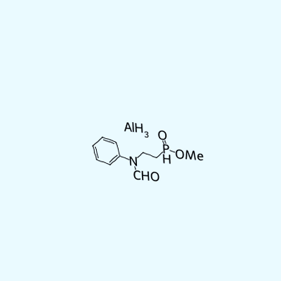 CO[PH](=O)CCN(C=O)c1ccccc1.[AlH3]